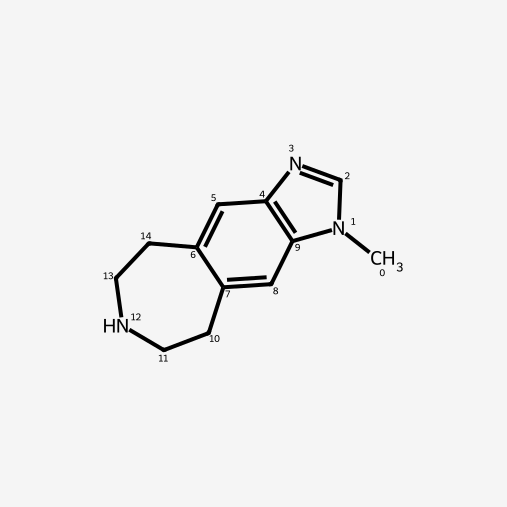 Cn1cnc2cc3c(cc21)CCNCC3